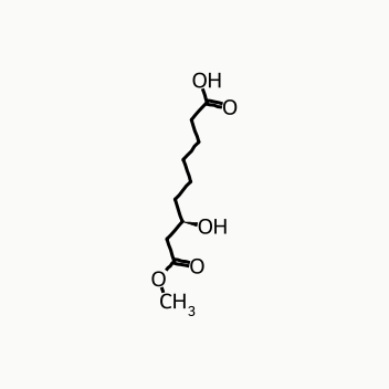 COC(=O)C[C@H](O)CCCCCC(=O)O